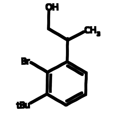 C[C](CO)c1cccc(C(C)(C)C)c1Br